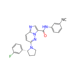 [C-]#[N+]c1cccc(NC(=O)c2cnc3ccc(N4CCC[C@@H]4c4cccc(F)c4)nn23)c1